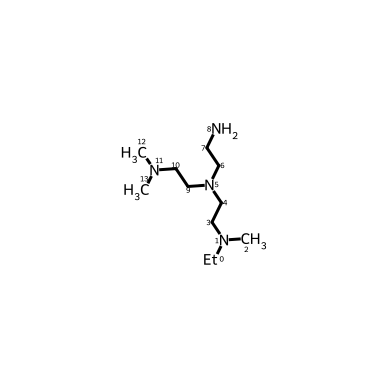 CCN(C)CCN(CCN)CCN(C)C